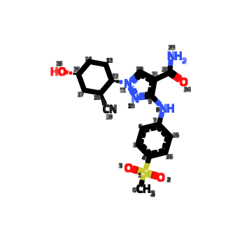 CS(=O)(=O)c1ccc(Nc2nn([C@H]3CC[C@@H](O)C[C@@H]3C#N)cc2C(N)=O)cc1